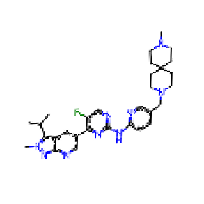 CC(C)c1c2cc(-c3nc(Nc4ccc(CN5CCC6(CCN(C)CC6)CC5)cn4)ncc3F)cnc2nn1C